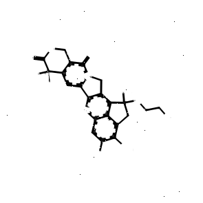 CC[C@@]1(O)C(=O)OCc2c1cc1n(c2=O)Cc2c-1nc1cc(F)c(C)c3c1c2C(C)(OCCO)C3